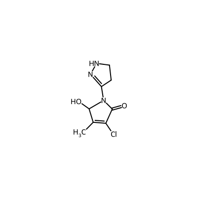 CC1=C(Cl)C(=O)N(C2=NNCC2)C1O